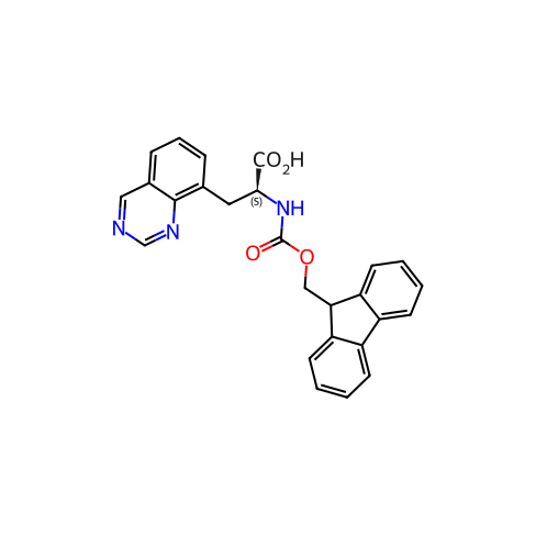 O=C(N[C@@H](Cc1cccc2cncnc12)C(=O)O)OCC1c2ccccc2-c2ccccc21